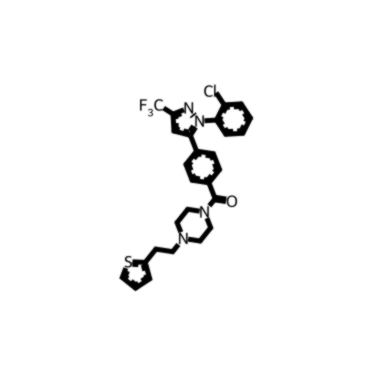 O=C(c1ccc(-c2cc(C(F)(F)F)nn2-c2ccccc2Cl)cc1)N1CCN(CCc2cccs2)CC1